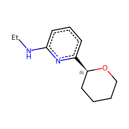 CCNc1cccc([C@@H]2CCCCO2)n1